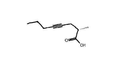 CCCC#CC[C@H](C)C(=O)O